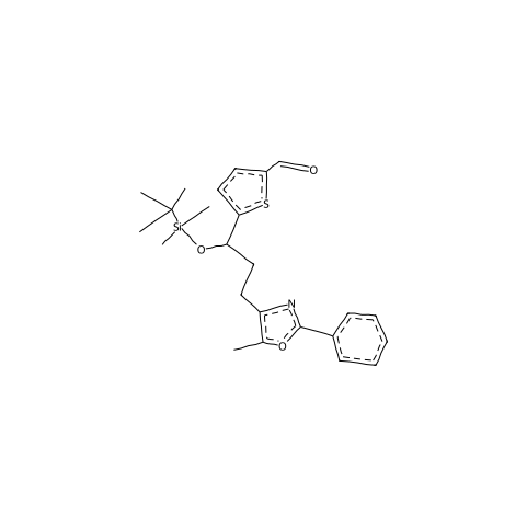 Cc1oc(-c2ccccc2)nc1CCC(O[Si](C)(C)C(C)(C)C)c1ccc(C=O)s1